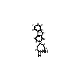 C1CCNNCC1.c1ccc2c(c1)Cc1ccccc1-2